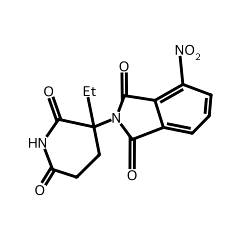 CCC1(N2C(=O)c3cccc([N+](=O)[O-])c3C2=O)CCC(=O)NC1=O